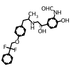 CC(Cc1ccc(OCC(F)(F)c2ccccc2)cc1)NC[C@@H](O)c1ccc(O)c(NC=O)c1